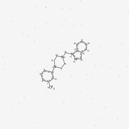 FC(F)(F)c1cccc(N2CCN(Cn3ncc4ccccc43)CC2)c1